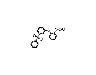 O=C=Nc1ccccc1Sc1cccc(S(=O)(=O)c2ccccc2)c1